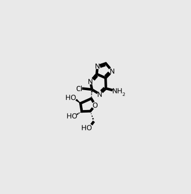 NC1=NC(Cl)([C@@H]2O[C@H](CO)[C@H](O)[C@H]2O)N=C2N=CN=C12